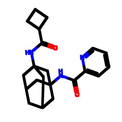 O=C(NC12CC3CC(C1)CC(NC(=O)C1CCC1)(C3)C2)c1ccccn1